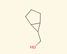 OCC1C2CCCC12